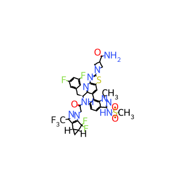 Cn1nc(NS(C)(=O)=O)c2cccc(-c3cc4sc(N5CC(C(N)=O)C5)nc4nc3[C@H](Cc3cc(F)cc(F)c3)NC(=O)Cn3nc(C(F)(F)F)c4c3C(F)(F)[C@@H]3C[C@H]43)c21